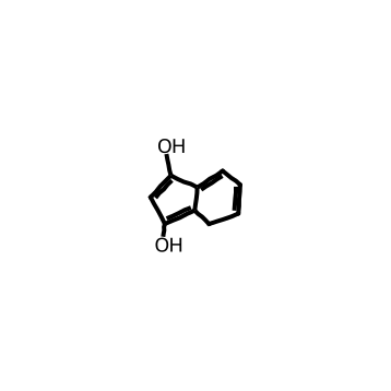 OC1=CC(O)=C2CC=CC=C12